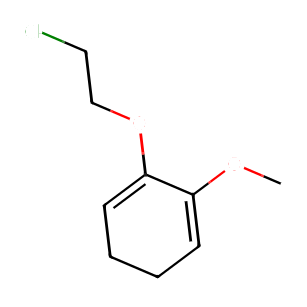 COC1=C[CH]CC=C1OCCCl